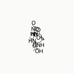 CCC(C)(O)C(=O)N[C@H]1Cc2ccc3c(c2)C2(c4ccccc4NC2O3)c2oc(nc2-c2nc(C=O)co2)[C@H](C(C)C)NC1=O